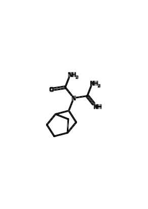 N=C(N)N(C(N)=O)C1CC2CCC1C2